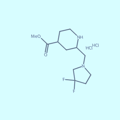 COC(=O)C1CCNC(CN2CCC(F)(F)C2)C1.Cl.Cl